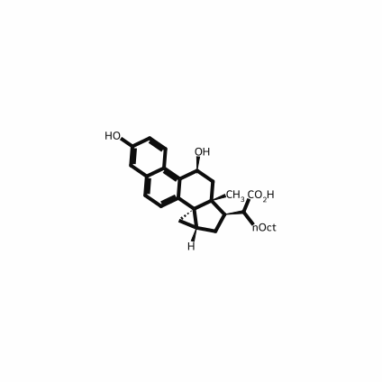 CCCCCCCCC(C(=O)O)[C@H]1C[C@@H]2C[C@@]23c2ccc4cc(O)ccc4c2[C@@H](O)C[C@]13C